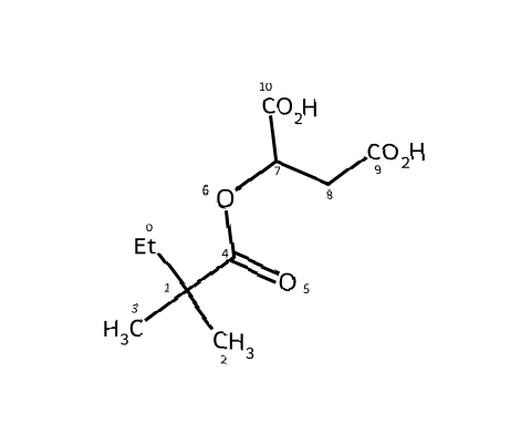 CCC(C)(C)C(=O)OC(CC(=O)O)C(=O)O